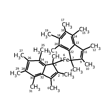 CC1=C(C)[C](C)([Fe][C]2(C)C(C)=C(C)c3c(C)c(C)c(C)c(C)c32)c2c(C)c(C)c(C)c(C)c21